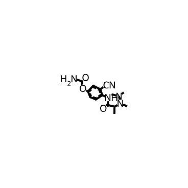 CC(C(=O)Nc1ccc(OC(N)=O)cc1C#N)N(C)N(C)C